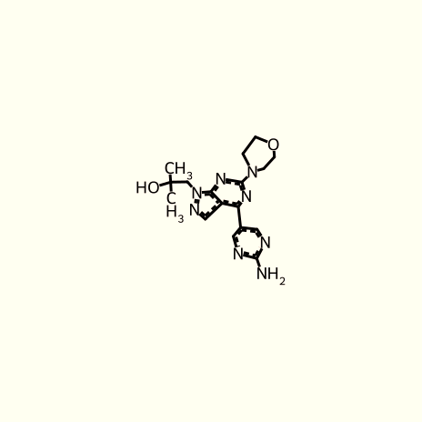 CC(C)(O)Cn1ncc2c(-c3cnc(N)nc3)nc(N3CCOCC3)nc21